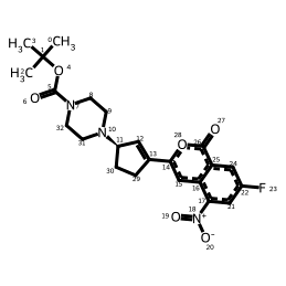 CC(C)(C)OC(=O)N1CCN([C@H]2C=C(c3cc4c([N+](=O)[O-])cc(F)cc4c(=O)o3)CC2)CC1